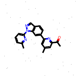 CC(=O)c1cc(C)cc(-c2ccc3cnn(-c4cccc(C)n4)c3c2)n1